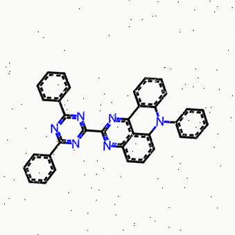 c1ccc(-c2nc(-c3ccccc3)nc(-c3nc4c5c(cccc5n3)N(c3ccccc3)c3ccccc3-4)n2)cc1